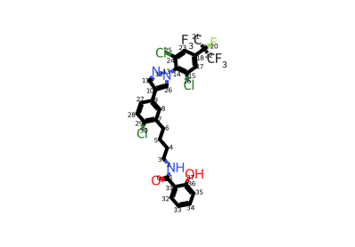 O=C(NCCCCc1cc(-c2cnn(-c3c(Cl)cc(C(F)(C(F)(F)F)C(F)(F)F)cc3Cl)c2)ccc1Cl)c1ccccc1O